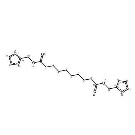 O=C(CCCCCCCCC(=O)OCc1ccco1)OCc1ccco1